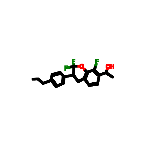 CCCc1ccc(C2Cc3ccc(C(C)O)c(F)c3OC2(F)F)cc1